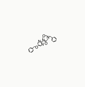 O=C1CN(Cc2ccccc2)COCN1c1ncc(OCc2ccccc2)cn1